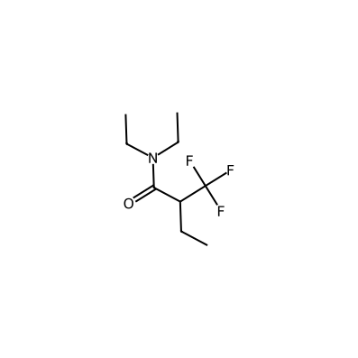 CCC(C(=O)N(CC)CC)C(F)(F)F